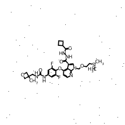 C[SiH](C)CCOCn1cc(C(=O)NNC(=O)C2CCC2)c2c(Oc3c(F)cc(NC(=O)NCC4(C)COC4)cc3F)ccnc21